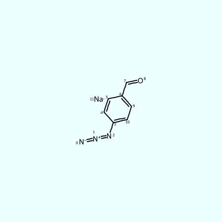 [N-]=[N+]=Nc1ccc(C=O)cc1.[Na]